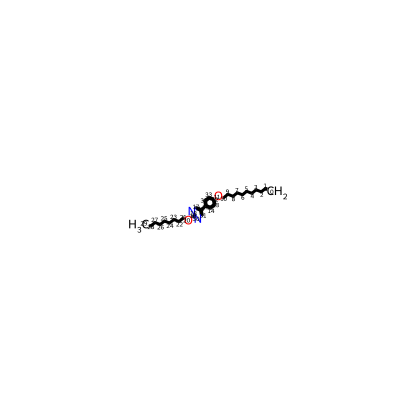 C=CCCCCCCCCCOc1ccc(-c2cnc(OCCCCCCCCC)nc2)cc1